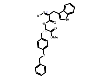 COC(=O)[C@H](Cc1ccc(OCc2ccccc2)cc1)NC(=O)/C(Cc1c[nH]c2ccccc12)=N\O